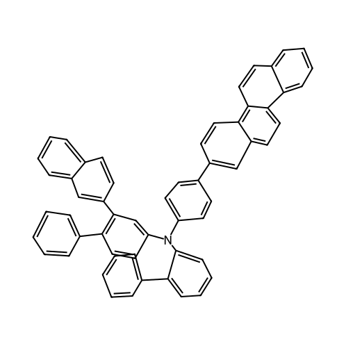 c1ccc(-c2ccc(N(c3ccc(-c4ccc5c(ccc6c7ccccc7ccc56)c4)cc3)c3ccccc3-c3ccccc3)cc2-c2ccc3ccccc3c2)cc1